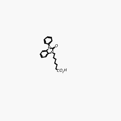 O=C(O)CCCCCCn1c(=O)n(-c2ccccc2)c2ccccc21